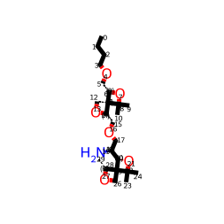 CCCCOC[C@@H]1OC(C)(C)[C@]12CO[C@H]2COC[C@H](N)[C@@H]1OC(C)(C)C12CO[C@@H]2C